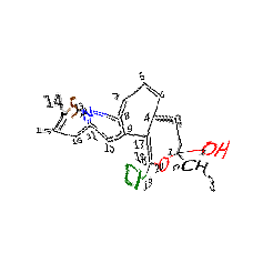 CC1(O)C=C2C=CC=c3c(cc4n3SC=CC=4)C2=C(Cl)O1